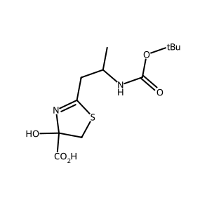 CC(CC1=NC(O)(C(=O)O)CS1)NC(=O)OC(C)(C)C